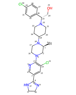 CC[C@H]1CN(c2ncc(C3=NCCN3)cc2Cl)CCN1C1CCN([C@@H](CO)c2ccc(Cl)cc2)CC1